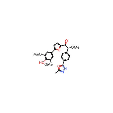 COc1cc(-c2ccc(C(=O)C(OC)c3ccc(-c4nnc(C)o4)cc3)o2)cc(OC)c1O